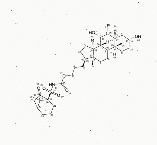 CC[C@H]1[C@@H](O)[C@@H]2[C@H](CC[C@]3(C)[C@@H](CCCOC(=O)NS(=O)(=O)[C@]45CCCC(CC4=O)C5(C)C)CC[C@@H]23)[C@@]2(C)CC[C@@H](O)C[C@@H]12